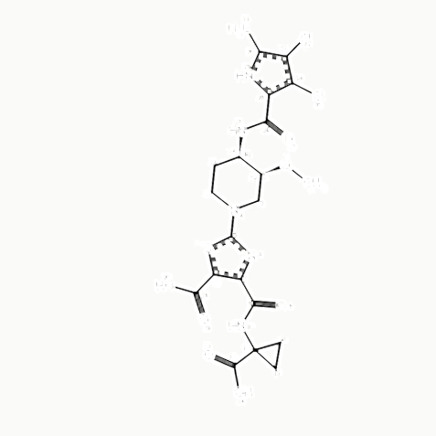 CO[C@H]1CN(c2nc(C(=O)NC3(C(=O)O)CC3)c(C(=O)O)s2)CC[C@H]1NC(=O)c1[nH]c(C)c(Cl)c1Cl